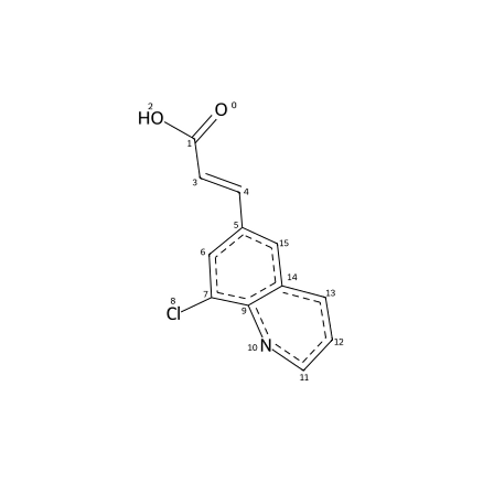 O=C(O)/C=C/c1cc(Cl)c2ncccc2c1